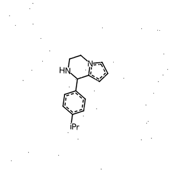 CC(C)c1ccc(C2NCCn3cccc32)cc1